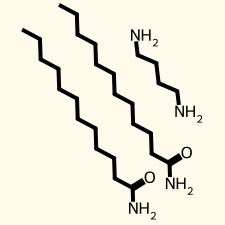 CCCCCCCCCCCC(N)=O.CCCCCCCCCCCC(N)=O.NCCCCN